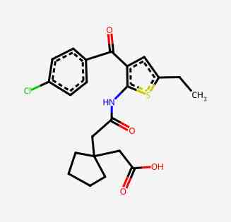 CCc1cc(C(=O)c2ccc(Cl)cc2)c(NC(=O)CC2(CC(=O)O)CCCC2)s1